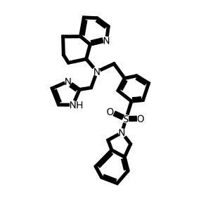 O=S(=O)(c1cccc(CN(Cc2ncc[nH]2)C2CCCc3cccnc32)c1)N1Cc2ccccc2C1